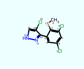 CSc1c(Cl)cc(Cl)cc1-c1n[nH]cc1Cl